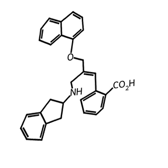 O=C(O)c1ccccc1C=C(CNC1Cc2ccccc2C1)COc1cccc2ccccc12